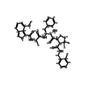 COc1cccc2coc(C(=O)NC(C)C(=O)N[C@@H](Cc3ccccc3)[C@H](O)C(=O)N3CSC(C)(C)C3C(=O)NCc3ccccc3C)c12